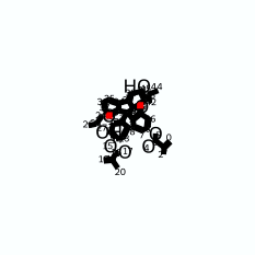 C=C(C)C(=O)Oc1ccc(C2(c3ccc(OC(=O)C(=C)C)cc3OCC(C)O)c3ccccc3-c3ccccc32)c(OCC(C)O)c1